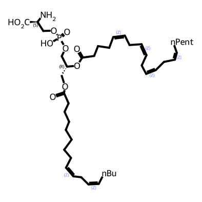 CCCC/C=C\C/C=C\CCCCCCCC(=O)OC[C@H](COP(=O)(O)OC[C@H](N)C(=O)O)OC(=O)CCC/C=C\C/C=C\C/C=C\C/C=C\CCCCC